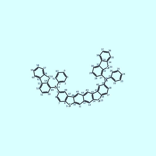 c1ccc(N(c2ccc3sc4cc5cc6sc7ccc(N(c8ccccc8)c8cccc9c8sc8ccccc89)cc7c6cc5cc4c3c2)c2cccc3c2sc2ccccc23)cc1